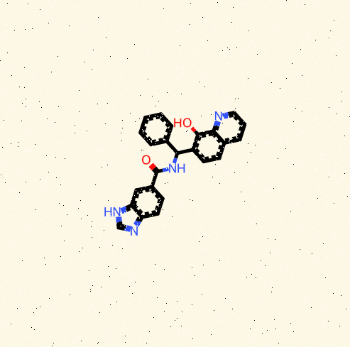 O=C(NC(c1ccccc1)c1ccc2cccnc2c1O)c1ccc2nc[nH]c2c1